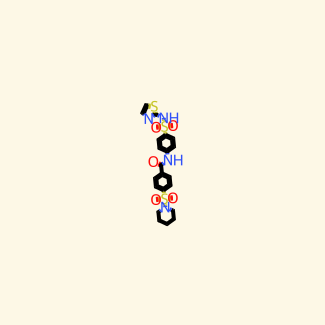 O=C(Nc1ccc(S(=O)(=O)Nc2nccs2)cc1)c1ccc(S(=O)(=O)N2CCCCC2)cc1